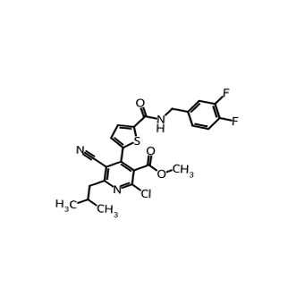 COC(=O)c1c(Cl)nc(CC(C)C)c(C#N)c1-c1ccc(C(=O)NCc2ccc(F)c(F)c2)s1